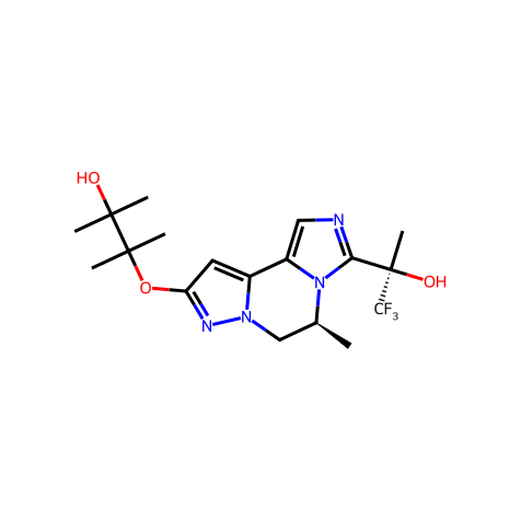 C[C@H]1Cn2nc(OC(C)(C)C(C)(C)O)cc2-c2cnc([C@@](C)(O)C(F)(F)F)n21